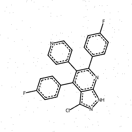 Fc1ccc(-c2nc3[nH]nc(Cl)c3c(-c3ccc(F)cc3)c2-c2ccncc2)cc1